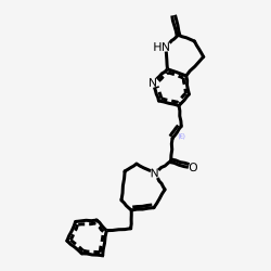 C=C1CCc2cc(/C=C/C(=O)N3CC=C(Cc4ccccc4)CCC3)cnc2N1